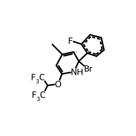 CC1=[C]C(Br)(c2ccccc2F)NC(OC(C(F)(F)F)C(F)(F)F)=C1